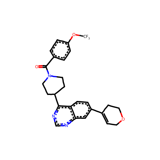 O=C(c1ccc(OC(F)(F)F)cc1)N1CCC(c2ncnc3cc(C4=CCOCC4)ccc23)CC1